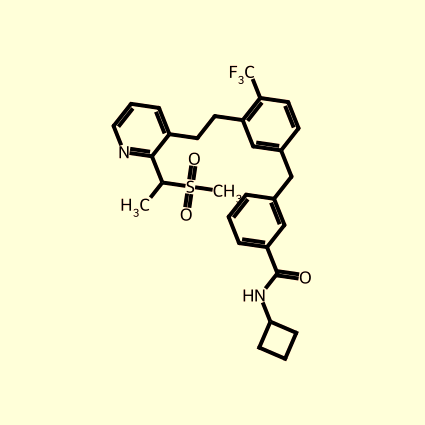 CC(c1ncccc1CCc1cc(Cc2cccc(C(=O)NC3CCC3)c2)ccc1C(F)(F)F)S(C)(=O)=O